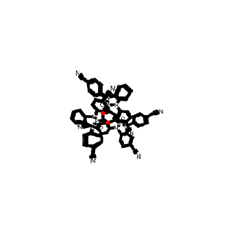 N#CC1=CC=C(N2c3ccc(C#N)cc3N(c3ccc(C#N)cc3)P2(=O)c2cc(P3(=O)N(c4ccc(C#N)cc4)c4ccccc4N3c3ccc(C#N)cc3)cc(P3(=O)N(c4ccc(C#N)cc4)c4ccccc4N3c3ccc(C#N)cc3)c2)CC1